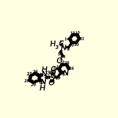 Cc1c(OCCN(C)Cc2ccccc2)ccnc1CS(=O)(=O)c1nc2ccccc2[nH]1